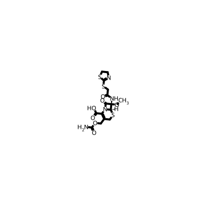 CO[C@@]1(NC(=O)CSC2=NCCS2)C(=O)N2C(C(=O)O)=C(COC(N)=O)CS[C@@H]21